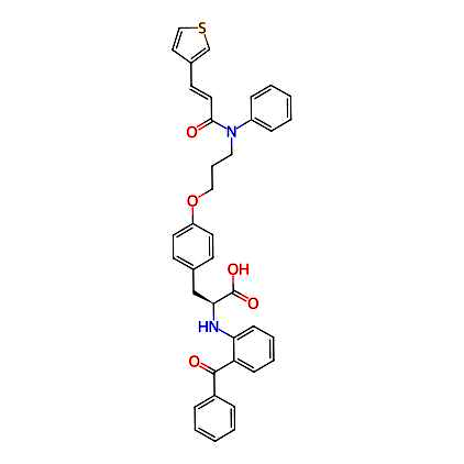 O=C(c1ccccc1)c1ccccc1N[C@@H](Cc1ccc(OCCCN(C(=O)/C=C/c2ccsc2)c2ccccc2)cc1)C(=O)O